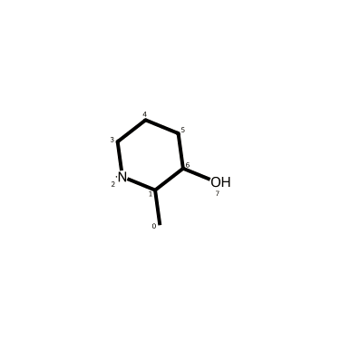 CC1[N]CCCC1O